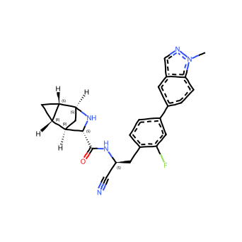 Cn1ncc2cc(-c3ccc(C[C@@H](C#N)NC(=O)[C@H]4N[C@H]5C[C@@H]4[C@@H]4C[C@@H]45)c(F)c3)ccc21